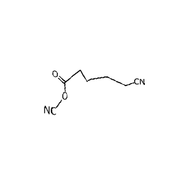 N#CCCCCC(=O)OC#N